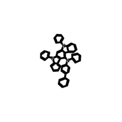 c1ccc(-c2ccc(N(c3ccccc3)c3c4c5ccccc5n(-c5ccccc5)c4cc4c3c3ccccc3n4-c3ccccc3)cc2)cc1